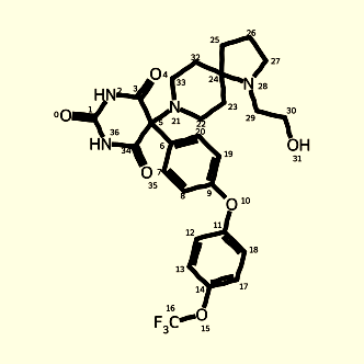 O=C1NC(=O)C(c2ccc(Oc3ccc(OC(F)(F)F)cc3)cc2)(N2CCC3(CCCN3CCO)CC2)C(=O)N1